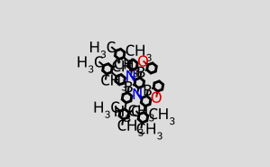 Cc1cc(C)c(-c2ccc3c(c2)N2c4cc(-c5c(C)cc(C)cc5C)cc5c4B(c4ccccc4O5)c4cc5c6c(c42)B3c2ccc(-c3c(C)cc(C)cc3C)cc2N6c2cc(-c3c(C)cc(C)cc3C)cc3c2B5c2ccccc2O3)c(C)c1